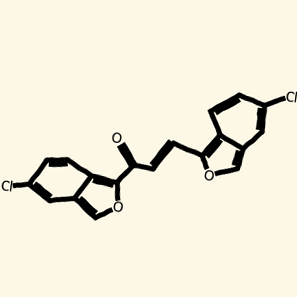 O=C(C=Cc1occ2cc(Cl)ccc12)c1occ2cc(Cl)ccc12